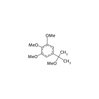 COc1cc(C(C)(C)OC)cc(OC)c1OC